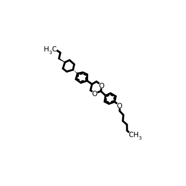 CCCCCCOc1ccc(C2OCC(c3ccc([C@H]4CC[C@H](CCC)CC4)cc3)CO2)cc1